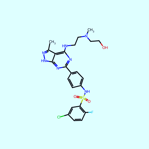 Cc1n[nH]c2nc(-c3ccc(NS(=O)(=O)c4cc(Cl)ccc4F)cc3)nc(NCCN(C)CCO)c12